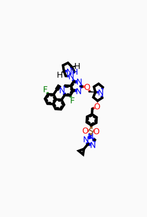 C#Cc1c(F)ccc2cccc(-c3ncc4c(N5C[C@H]6CC[C@@H](C5)N6)nc(OC[C@@]56CCCN5C[C@H](OCc5ccc(S(=O)(=O)n7cnc(C8CC8)n7)cc5)C6)nc4c3F)c12